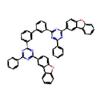 c1ccc(-c2nc(-c3cccc(-c4cccc(-c5nc(-c6ccccc6)nc(-c6ccc7oc8ccccc8c7c6)n5)c4)c3)nc(-c3ccc4oc5ccccc5c4c3)n2)cc1